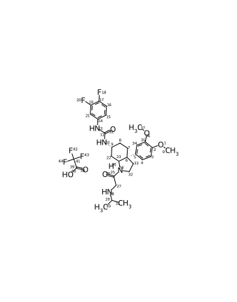 COc1ccc([C@@]23CC[C@@H](NC(=O)Nc4ccc(F)c(F)c4)C[C@@H]2N(C(=O)CNC(C)C)CC3)cc1OC.O=C(O)C(F)(F)F